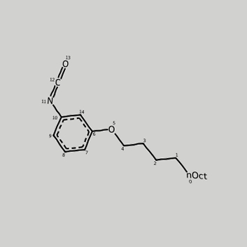 CCCCCCCCCCCCOc1cccc(N=C=O)c1